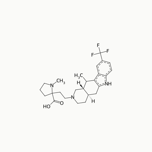 CC1c2c([nH]c3ccc(C(F)(F)F)cc23)C[C@H]2CCN(CCC3(C(=O)O)CCCN3C)C[C@H]12